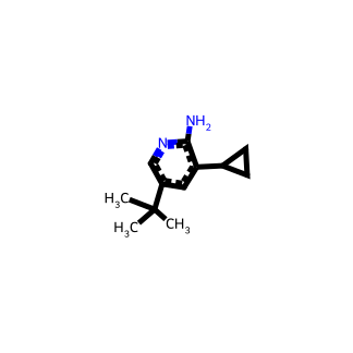 CC(C)(C)c1cnc(N)c(C2CC2)c1